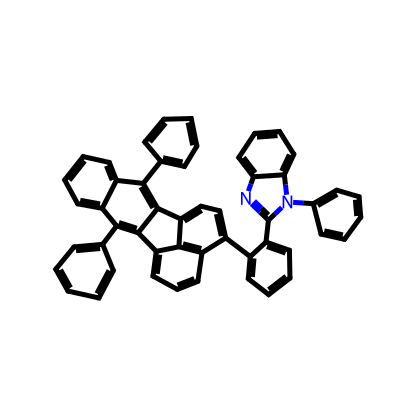 c1ccc(-c2c3c(c(-c4ccccc4)c4ccccc24)-c2ccc(-c4ccccc4-c4nc5ccccc5n4-c4ccccc4)c4cccc-3c24)cc1